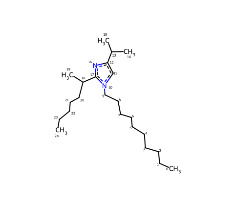 CCCCCCCCCCn1cc(C(C)C)nc1C(C)CCCCC